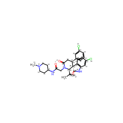 C=C(C)[C@H]1N(CC(=O)NC2CCN(C)CC2)C(=O)C[C@@H](c2cccc(Cl)c2)[C@]12C(=O)Nc1cc(Cl)ccc12